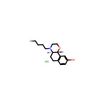 Cl.Oc1ccc2c(c1)[C@H]1OCCN(CCCCF)[C@@H]1CC2